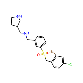 O=S(=O)(Cc1ccc(Cl)cc1Br)c1cccc(CNCC2CCNC2)c1